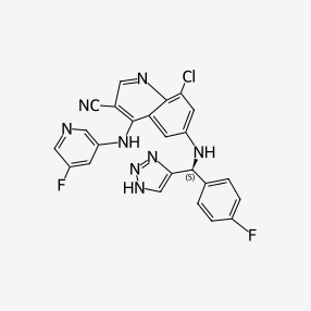 N#Cc1cnc2c(Cl)cc(N[C@@H](c3ccc(F)cc3)c3c[nH]nn3)cc2c1Nc1cncc(F)c1